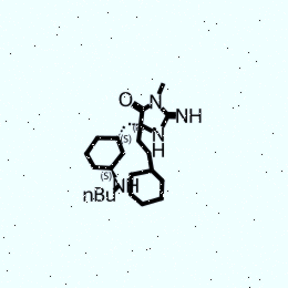 CCCCN[C@H]1CCC[C@H](C[C@@]2(CCC3CCCCC3)NC(=N)N(C)C2=O)C1